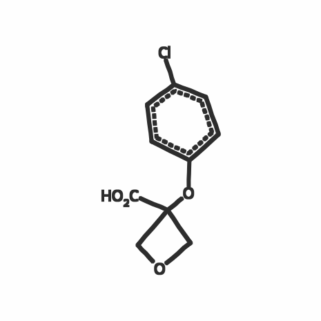 O=C(O)C1(Oc2ccc(Cl)cc2)COC1